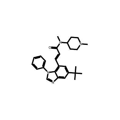 CN1CCC(N(C)C(=O)C=Cc2cc(C(C)(C)C)cc3ncn(-c4ccccc4)c23)CC1